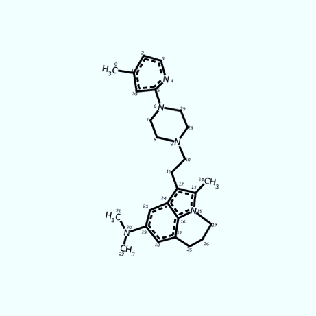 Cc1ccnc(N2CCN(CCc3c(C)n4c5c(cc(N(C)C)cc35)CCC4)CC2)c1